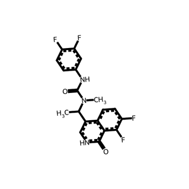 CC(c1c[nH]c(=O)c2c(F)c(F)ccc12)N(C)C(=O)Nc1ccc(F)c(F)c1